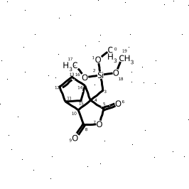 CO[Si](CC12C(=O)OC(=O)C1C1C=CC2C1)(OC)OC